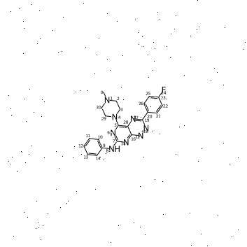 CN1CCN(c2nc(Nc3ccccc3)nc3nnc(-c4ccc(F)cc4)nc23)CC1